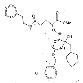 COC(=O)C(CCC(=O)N(C)CCc1ccncc1)ONC(=O)C(O)(CC1CCCCC1)NC(=O)OCc1cccc(Cl)c1